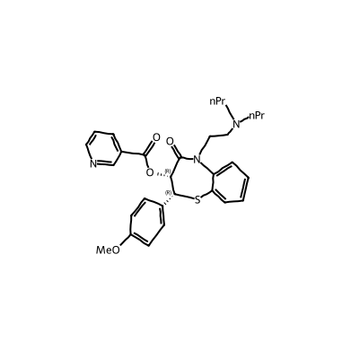 CCCN(CCC)CCN1C(=O)[C@@H](OC(=O)c2cccnc2)[C@@H](c2ccc(OC)cc2)Sc2ccccc21